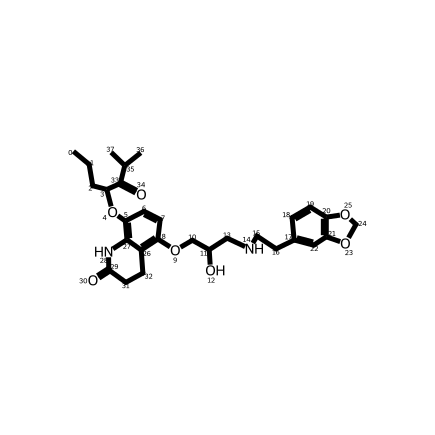 CCCC(Oc1ccc(OCC(O)CNCCc2ccc3c(c2)OCO3)c2c1NC(=O)CC2)C(=O)C(C)C